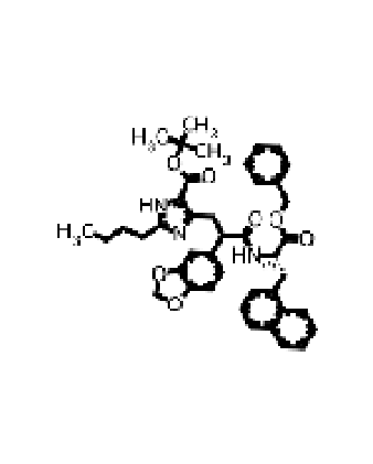 CCCCc1nc(CC(C(=O)N[C@@H](Cc2cccc3ccccc23)C(=O)OCc2ccccc2)c2ccc3c(c2)OCO3)c(C(=O)OC(C)(C)C)[nH]1